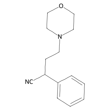 N#CC(CCN1CCOCC1)c1ccccc1